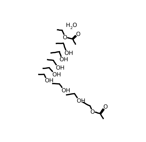 CCO.CCO.CCO.CCO.CCO.CCO.CCO.CCOC(C)=O.CCOC(C)=O.O